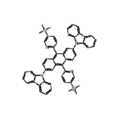 C[Si](C)(C)c1ccc(-c2c3ccc(-n4c5ccccc5c5ccccc54)cc3c(-c3ccc([Si](C)(C)C)cn3)c3ccc(-n4c5ccccc5c5ccccc54)cc23)nc1